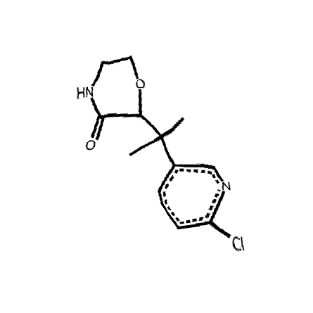 CC(C)(c1ccc(Cl)nc1)C1OCCNC1=O